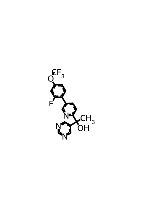 CC(O)(c1cncnc1)c1ccc(-c2ccc(OC(F)(F)F)cc2F)cn1